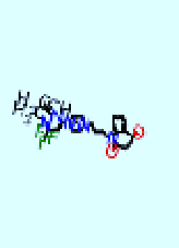 CC(C)(C)c1nc(N2CCN(CC=CCN3C(=O)CCC(=O)c4ccccc43)CC2)cc(C(F)(F)F)n1